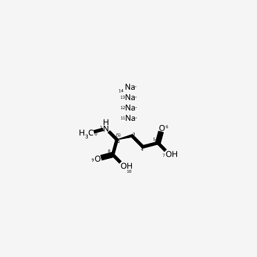 CN[C@@H](CCC(=O)O)C(=O)O.[Na].[Na].[Na].[Na]